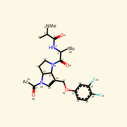 CNC(C)C(=O)NC(C(=O)N1CCC2C1C(COc1ccc(F)c(F)c1)=CN2C(=O)C(C)=O)C(C)(C)C